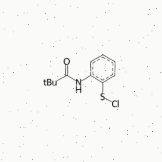 CC(C)(C)C(=O)Nc1ccccc1SCl